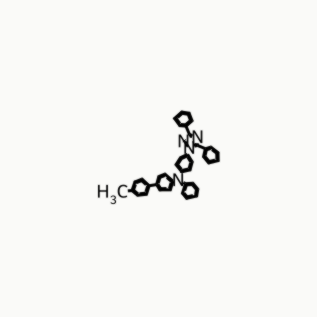 Cc1ccc(-c2ccc(N(c3ccccc3)c3ccc(-n4nc(-c5ccccc5)nc4-c4ccccc4)cc3)cc2)cc1